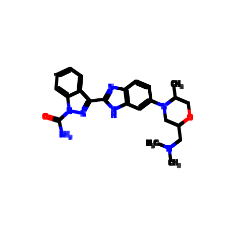 CC1COC(CN(C)C)CN1c1ccc2nc(-c3nn(C(N)=O)c4c[c]ccc34)[nH]c2c1